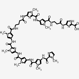 Cn1cc(NC(=O)c2nc(NC(=O)c3cc(NC(=O)c4cc(NC(=O)c5nccn5C)cn4C)cn3C)cn2C)cc1C(=O)NCCCC(=O)Nc1cn(C)c(C(=O)Nc2cc(C(=O)NCCC(=O)Nc3c[nH]c(C(=O)O)n3)n(C)c2)n1